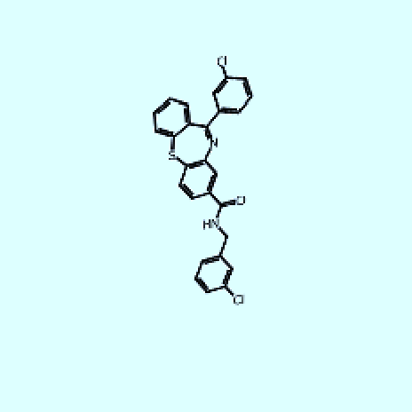 O=C(NCc1cccc(Cl)c1)c1ccc2c(c1)N=C(c1cccc(Cl)c1)c1ccccc1S2